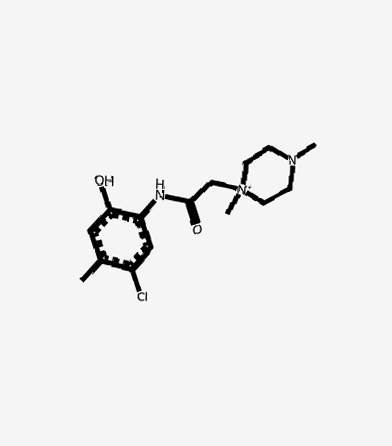 Cc1cc(O)c(NC(=O)C[N+]2(C)CCN(C)CC2)cc1Cl